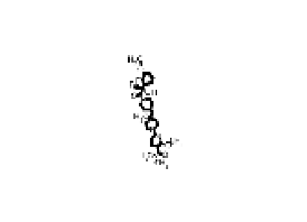 CCOc1cccc(C(O)(C(=O)N2CCC(CC3(C)CCN(c4ccc(C(=O)N(C)C)c(OC)n4)CC3)CC2)C(F)(F)F)c1